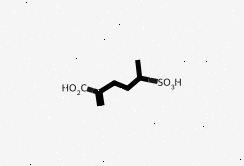 C=C(CCC(C)S(=O)(=O)O)C(=O)O